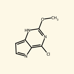 COc1nc(Cl)c2nccc-2[nH]1